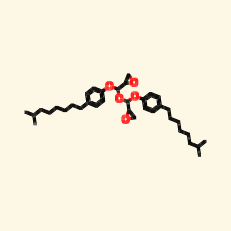 CC(C)CCCCCCc1ccc(OC(OC(Oc2ccc(CCCCCCC(C)C)cc2)C2CO2)C2CO2)cc1